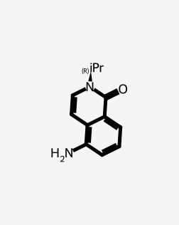 [CH2][C@H](C)n1ccc2c(N)cccc2c1=O